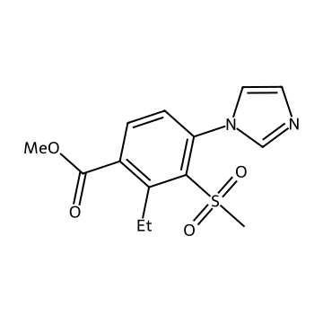 CCc1c(C(=O)OC)ccc(-n2ccnc2)c1S(C)(=O)=O